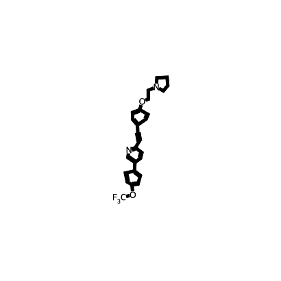 FC(F)(F)Oc1ccc(-c2ccc(C#Cc3ccc(OCCN4CCCC4)cc3)nc2)cc1